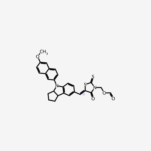 COc1ccc2cc(N3c4ccc(/C=C5\SC(=S)N(COC=O)C5=O)cc4C4CCCC43)ccc2c1